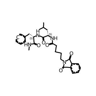 CNC(=O)[C@H](Cc1ccccc1)NC(=O)[C@H](CC(C)C)NC(=O)CCCCN1C(=O)c2ccccc2C1=O